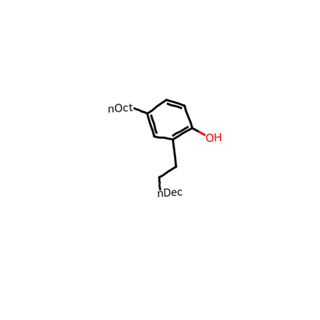 CCCCCCCCCCCCc1cc(CCCCCCCC)ccc1O